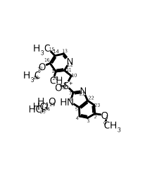 COc1ccc2[nH]c([S+]([O-])Cc3ncc(C)c(OC)c3C)nc2c1.Cl.Cl.O